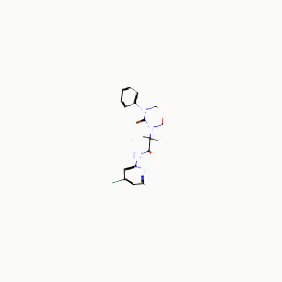 CC(C)(C(=O)Nc1cc(Cl)cc(Cl)n1)N1COCN(c2ccccc2)C1=S